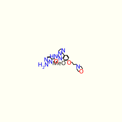 COc1c(OCCCN2CCOCC2)ccc2c1N=C(NC(=O)c1ccnc(N)n1)N1CCN=C21